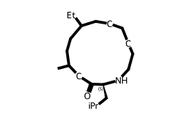 CCC1CCCCCCN[C@@H](CC(C)C)C(=O)CC(C)CC1